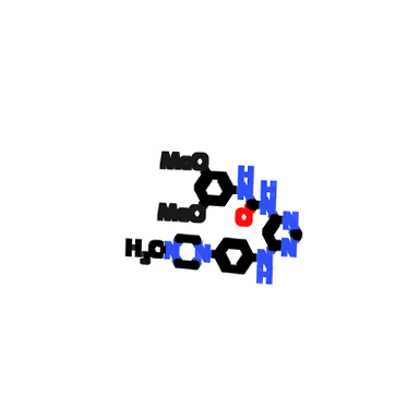 COc1cc(NC(=O)Nc2cc(Nc3ccc(N4CCN(C)CC4)cc3)ncn2)cc(OC)c1